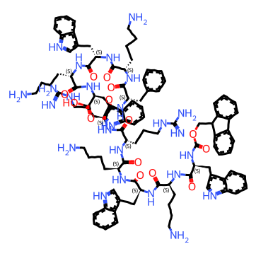 N=C(N)NCCC[C@H](NC(=O)[C@H](CCCCN)NC(=O)[C@H](Cc1c[nH]c2ccccc12)NC(=O)[C@H](CCCCN)NC(=O)[C@H](Cc1c[nH]c2ccccc12)NC(=O)OCC1c2ccccc2-c2ccccc21)C(=O)N[C@@H](CCCNC(=N)N)C(=O)N[C@@H](Cc1ccccc1)C(=O)N[C@@H](CCCCN)C(=O)N[C@@H](Cc1c[nH]c2ccccc12)C(=O)N[C@@H](CCCCN)C(=O)N[C@@H](Cc1c[nH]c2ccccc12)C(=O)O